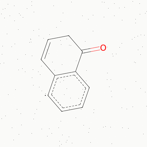 O=C1CC=Cc2[c]cccc21